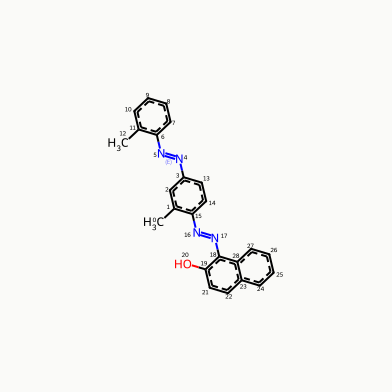 Cc1cc(/N=N/c2ccccc2C)ccc1N=Nc1c(O)ccc2ccccc12